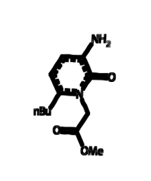 CCCCc1ccc(N)c(=O)n1CC(=O)OC